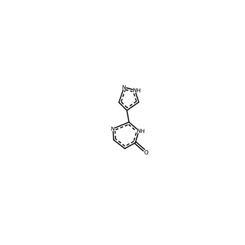 O=c1ccnc(-c2cn[nH]c2)[nH]1